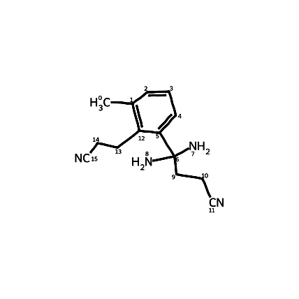 Cc1cccc(C(N)(N)CCC#N)c1CCC#N